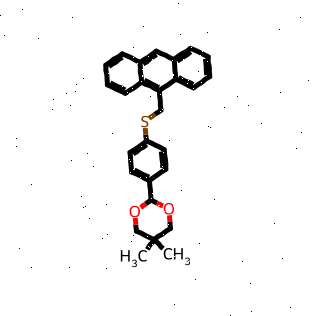 CC1(C)COC(c2ccc(SCc3c4ccccc4cc4ccccc34)cc2)OC1